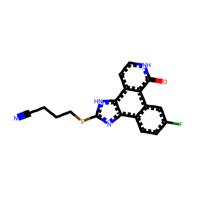 N#CCCCSc1nc2c3ccc(F)cc3c3c(=O)[nH]ccc3c2[nH]1